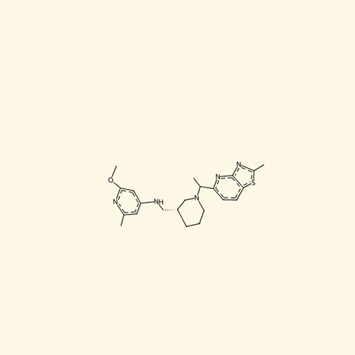 COc1cc(NC[C@H]2CCCN(C(C)c3ccc4sc(C)nc4n3)C2)cc(C)n1